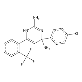 NC1=NC(N)(c2ccc(Cl)cc2)C=C(c2ccccc2C(F)(F)F)N1